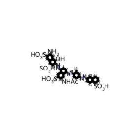 CC(=O)Nc1cc(/N=N/c2ccc(/N=N/c3c(S(=O)(=O)O)cc4cc(S(=O)(=O)O)c(N)cc4c3O)c3cc(S(=O)(=O)O)ccc23)c(C)cc1/N=N/c1ccc2c(S(=O)(=O)O)cccc2c1